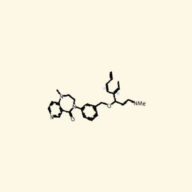 C=C/C=C\C(=C/C)C(CCNC)OCc1cccc(N2CCN(C)c3ccncc3C2=O)c1